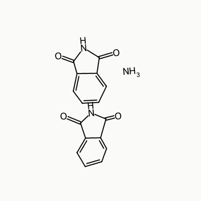 N.O=C1NC(=O)c2ccccc21.O=C1NC(=O)c2ccccc21